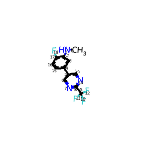 CNc1cc(-c2cnc(C(F)(F)F)nc2)ccc1F